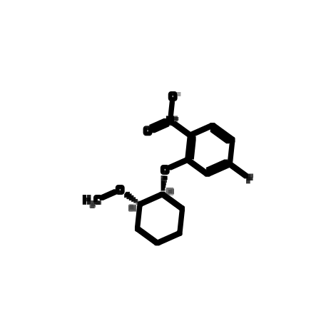 CO[C@H]1CCCC[C@H]1Oc1cc(F)ccc1[N+](=O)[O-]